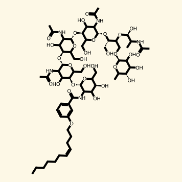 CCCCCC/C=C\CCCOc1cccc(C(=O)NC2C(O)[C@H](O)C(CO)O[C@H]2O[C@@H]2C(CO)O[C@@H](O[C@@H]3C(CO)O[C@@H](O[C@@H]4C(CO)O[C@@H](O[C@@H](CO)C(CO[C@@H]5OC(C)[C@@H](O)C(O)C5O)O[C@@H](O)C(C)NC(C)=O)C(NC(C)=O)C4O)C(NC(C)=O)C3O)C(NC(C)=O)C2O)c1